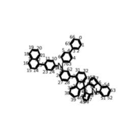 c1ccc(-c2ccc(N(c3ccc(-c4cccc5ccccc45)cc3)c3cccc(-c4cccc5c4-c4ccccc4C54c5ccccc5-n5c6ccccc6c6cccc4c65)c3)cc2)cc1